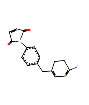 NC1=CC=C(Cc2ccc(N3C(=O)C=CC3=O)cc2)CC1